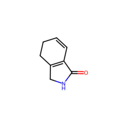 O=C1NCC2=C1C=CCC2